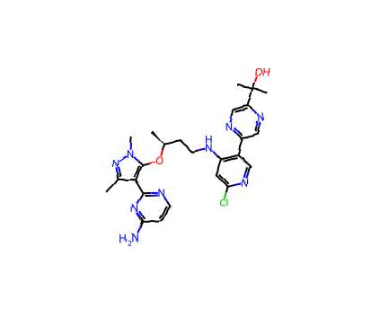 Cc1nn(C)c(O[C@@H](C)CCNc2cc(Cl)ncc2-c2cnc(C(C)(C)O)cn2)c1-c1nccc(N)n1